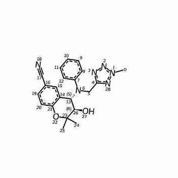 Cn1nnc(CN(c2ccccc2)[C@H]2c3cc(C#N)ccc3OC(C)(C)[C@@H]2O)n1